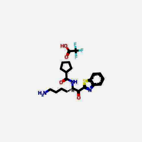 NCCCC[C@H](NC(=O)C1CCCC1)C(=O)c1nc2ccccc2s1.O=C(O)C(F)(F)F